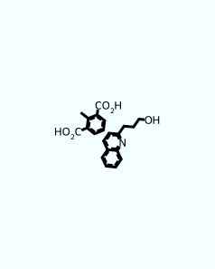 Cc1c(C(=O)O)cccc1C(=O)O.OCCCc1ccc2ccccc2n1